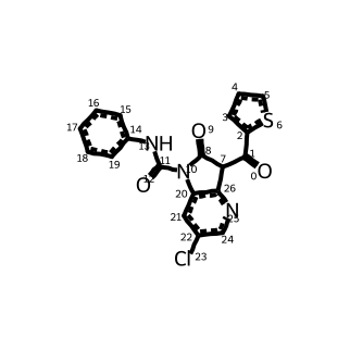 O=C(c1cccs1)C1C(=O)N(C(=O)Nc2ccccc2)c2cc(Cl)cnc21